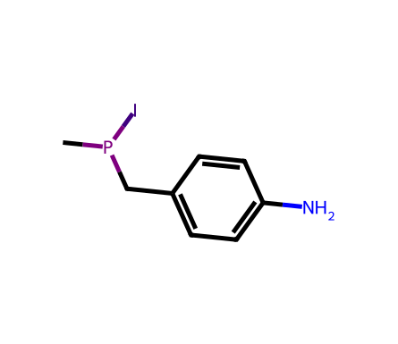 CP(I)Cc1ccc(N)cc1